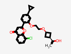 C=C(O)[C@H]1C[C@@H](OCCOc2cc(C3CC3)ccc2-c2cc(=O)c3cccc(Cl)c3o2)C1